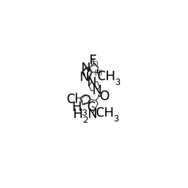 C[C@@H]1C[C@H](F)c2ncnc(N3CCN(C(=O)C(CC(C)(C)N)c4ccc(Cl)cc4)CC3)c21